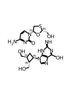 N=c1nc(O)c2ncn([C@@H]3C[C@H](CO)[C@H]3CO)c2[nH]1.Nc1ccn([C@@H]2CS[C@H](CO)O2)c(=O)n1